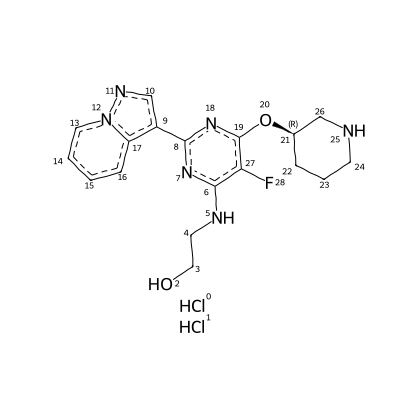 Cl.Cl.OCCNc1nc(-c2cnn3ccccc23)nc(O[C@@H]2CCCNC2)c1F